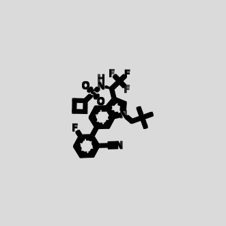 CC(C)(C)Cn1cc([C@H](NS(=O)(=O)C2CCC2)C(F)(F)F)c2ccc(-c3c(F)cccc3C#N)cc21